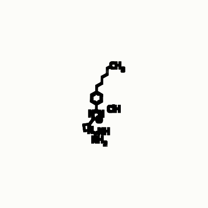 CCCCCCc1ccc(-c2noc(C3CCN3C(=N)N)n2)cc1.Cl